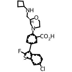 O=C(O)c1cc(-c2c(F)sc3cc(Cl)ccc23)ccc1N1CCO[C@H](CNC2CCC2)C1